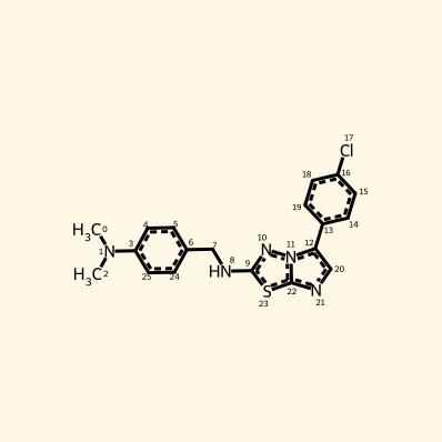 CN(C)c1ccc(CNc2nn3c(-c4ccc(Cl)cc4)cnc3s2)cc1